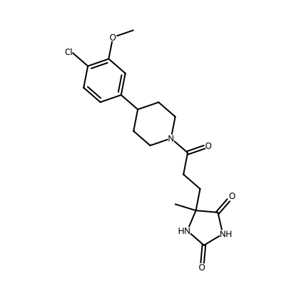 COc1cc(C2CCN(C(=O)CCC3(C)NC(=O)NC3=O)CC2)ccc1Cl